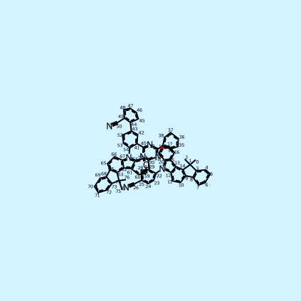 CC1(C)c2ccccc2-c2ccc3c(c21)c1ccccc1n3-c1ccc(C#N)cc1-c1nc(-c2ccccc2)nc(-c2cc(-c3ccccc3C#N)ccc2-n2c3ccccc3c3c4c(ccc32)-c2ccccc2C4(C)C)n1